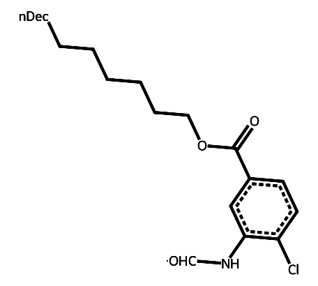 CCCCCCCCCCCCCCCCOC(=O)c1ccc(Cl)c(N[C]=O)c1